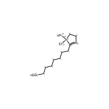 CCCCCCCCCCCCCCCCCC1=NCC[N+]1(CC)CCC